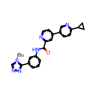 CC[C@H](C)n1cnnc1-c1cccc(NC(=O)c2cc(-c3ccc(C4CC4)nc3)ccn2)c1